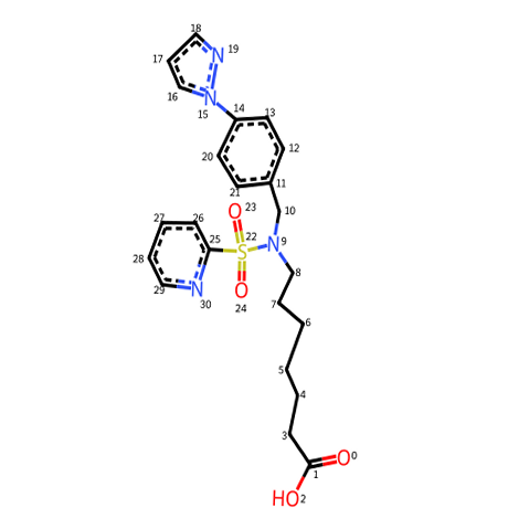 O=C(O)CCCCCCN(Cc1ccc(-n2cccn2)cc1)S(=O)(=O)c1ccccn1